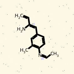 C=C/C(N)=C/c1ccc(/N=C\C)c(C)c1